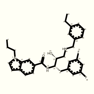 CCCn1ccc2ccc(C(=O)N[C@@H](Cc3cc(F)cc(F)c3)[C@H](O)CNCc3cccc(CC)c3)cc21